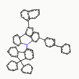 c1ccc(-c2ccc(-c3cccc(N(c4ccccc4-c4cccc(-c5cccc6ccccc56)c4)c4cccc5c4-c4ccccc4C5(c4ccccc4)c4ccccc4)c3)cc2)cc1